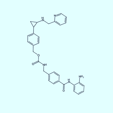 Nc1ccccc1NC(=O)c1ccc(CNC(=O)OCc2ccc(C3CC3NCc3ccccn3)cc2)cc1